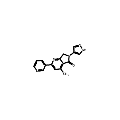 Cc1cc(-c2cccnc2)nc2c1C(=O)N(c1cn[nH]c1)C2